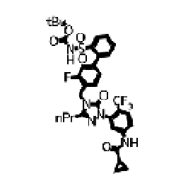 CCCc1nn(-c2cc(NC(=O)C3CC3)ccc2C(F)(F)F)c(=O)n1Cc1ccc(-c2ccccc2S(=O)(=O)NC(=O)OC(C)(C)C)cc1F